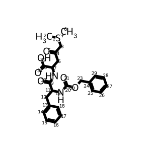 C[S+](C)CC(=O)CC(NC(=O)C(Cc1ccccc1)NC(=O)OCc1ccccc1)C(=O)O